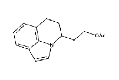 CC(=O)OCCC1CCc2cccc3ccn1c23